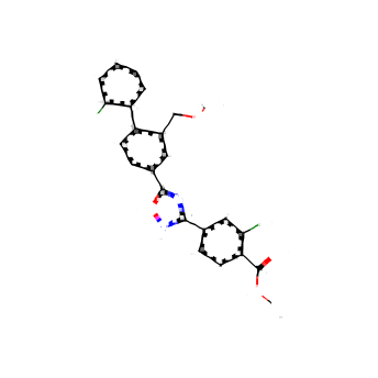 COCc1cc(-c2nc(-c3ccc(C(=O)OC)c(F)c3)no2)ccc1-c1ccccc1F